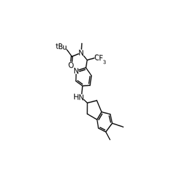 Cc1cc2c(cc1C)CC(Nc1ccc(C(N(C)C(=O)C(C)(C)C)C(F)(F)F)nc1)C2